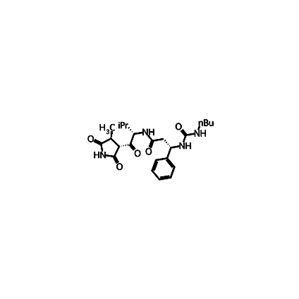 CCCCNC(=O)N[C@@H](CC(=O)N[C@H](C(=O)[C@@H]1C(=O)NC(=O)[C@H]1C)C(C)C)c1ccccc1